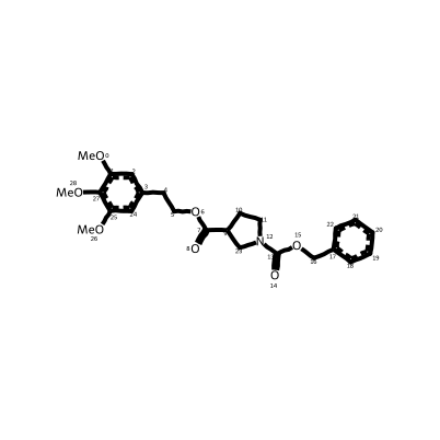 COc1cc(CCOC(=O)C2CCN(C(=O)OCc3ccccc3)C2)cc(OC)c1OC